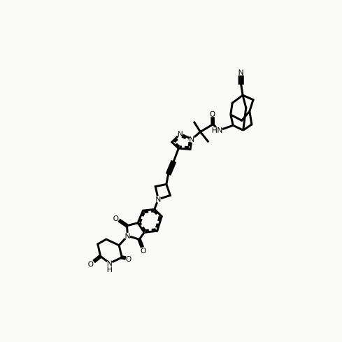 CC(C)(C(=O)NC1C2CC3CC1CC(C#N)(C3)C2)n1cc(C#CC2CN(c3ccc4c(c3)C(=O)N(C3CCC(=O)NC3=O)C4=O)C2)cn1